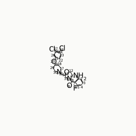 Nc1cccc(F)c1C(=O)N1CCOC(CN2CCC(Oc3ccc(Cl)c(Cl)c3)CC2)C1